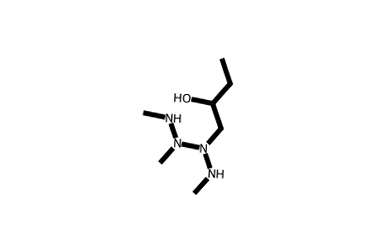 CCC(O)CN(NC)N(C)NC